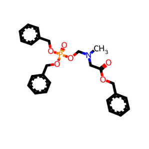 CN(COP(=O)(OCc1ccccc1)OCc1ccccc1)CC(=O)OCc1ccccc1